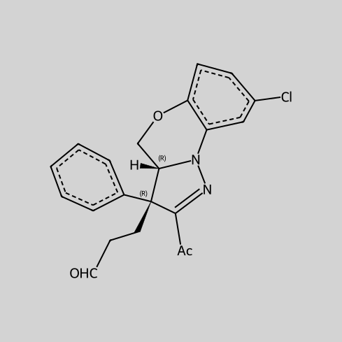 CC(=O)C1=NN2c3cc(Cl)ccc3OC[C@H]2[C@@]1(CCC=O)c1ccccc1